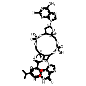 CC(C)C(=O)Nc1nc2c(ncn2[C@@H]2O[C@@H]3COP(=O)(S)OC4C[C@H](n5cnc6c(N)nc(Cl)nc65)O[C@@H]4COP(=O)(S)OC2C3OC(=O)c2ccccc2)c(=O)[nH]1